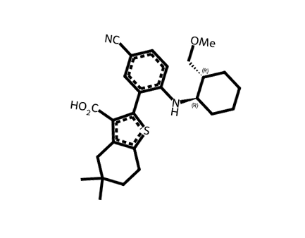 COC[C@@H]1CCCC[C@H]1Nc1ccc(C#N)cc1-c1sc2c(c1C(=O)O)CC(C)(C)CC2